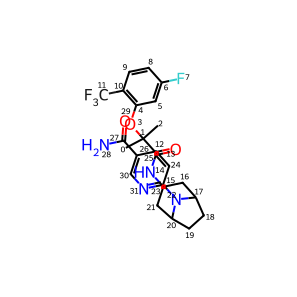 CC(C)(Oc1cc(F)ccc1C(F)(F)F)C(=O)NC1CC2CCC(C1)N2c1ccc(C(N)=O)cn1